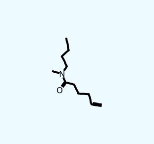 C=CCCCC(=O)N(C)CCCC